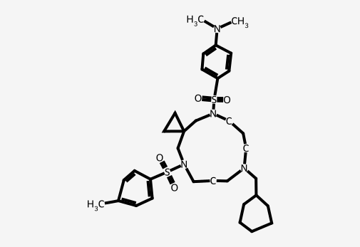 Cc1ccc(S(=O)(=O)N2CCCN(CC3CCCCC3)CCCN(S(=O)(=O)c3ccc(N(C)C)cc3)CC3(CC3)C2)cc1